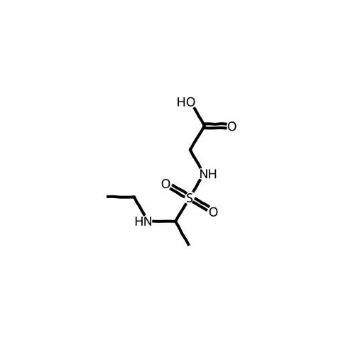 CCNC(C)S(=O)(=O)NCC(=O)O